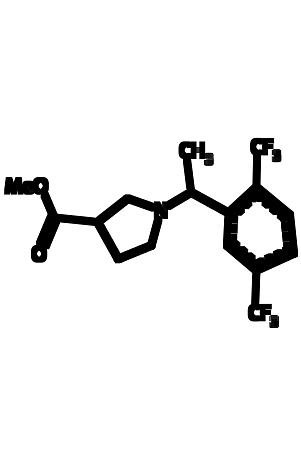 COC(=O)C1CCN(C(C)c2cc(C(F)(F)F)ccc2C(F)(F)F)C1